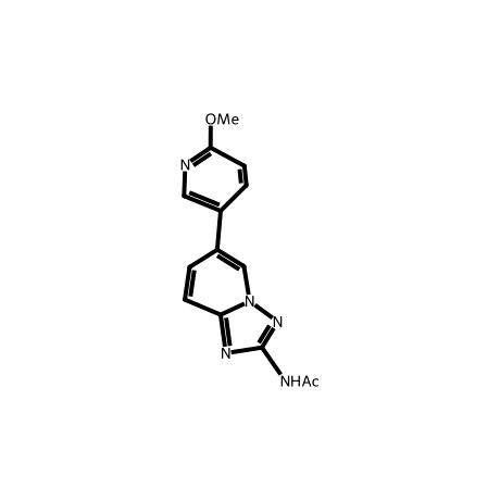 COc1ccc(-c2ccc3nc(NC(C)=O)nn3c2)cn1